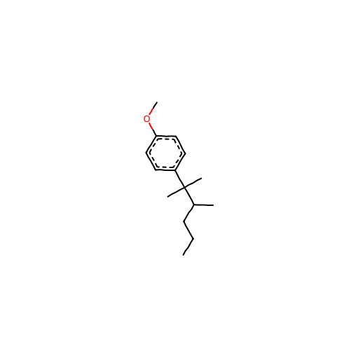 CCCC(C)C(C)(C)c1ccc(OC)cc1